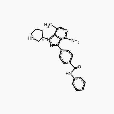 Cc1cnc(N)c2c(-c3ccc(C(=O)Nc4ccccc4)cc3)nn([C@@H]3CCCNC3)c12